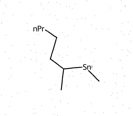 CCCCC[CH](C)[Sn][CH3]